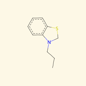 CCCN1CSc2ccccc21